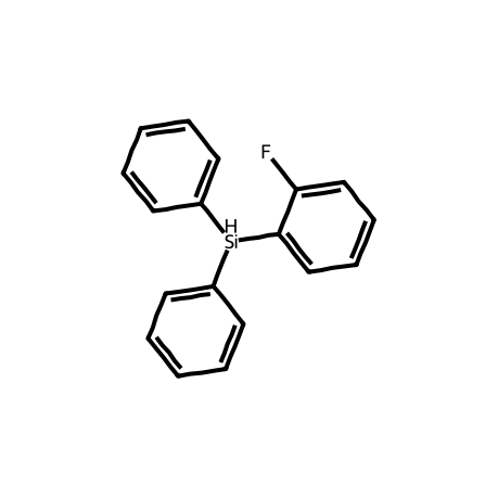 Fc1ccccc1[SiH](c1ccccc1)c1ccccc1